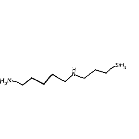 NCCCCCNCCC[SiH3]